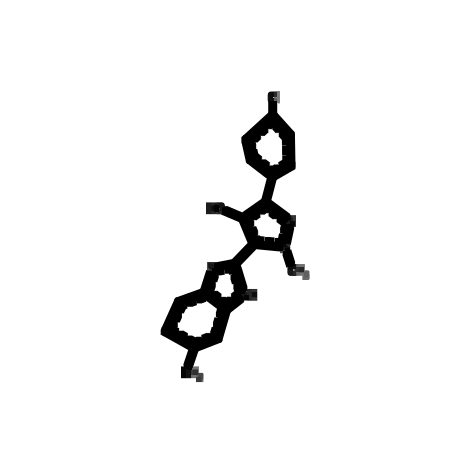 Cn1nc(-c2ccc(Cl)cc2)c(O)c1-c1nc2ccc(N)cc2[nH]1